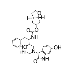 CC(C)CN(C[C@@H](O)C(Cc1ccccc1)NC(=O)OC1C[C@@H]2CCO[C@@H]2C1)C1C(=O)Nc2cc(O)ccc21